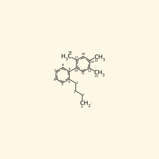 [CH2]CCCc1ccccc1-c1cc(C)c(C)cc1C